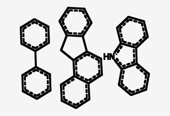 c1ccc(-c2ccccc2)cc1.c1ccc2c(c1)Cc1c-2ccc2ccccc12.c1ccc2c(c1)[nH]c1ccccc12